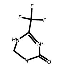 O=C1[N]CNC(C(F)(F)F)=[N+]1